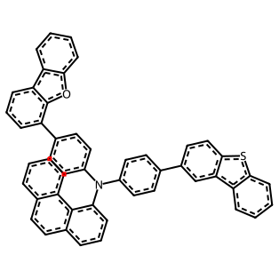 c1ccc2c(c1)ccc1cccc(N(c3ccc(-c4ccc5sc6ccccc6c5c4)cc3)c3ccc(-c4cccc5c4oc4ccccc45)cc3)c12